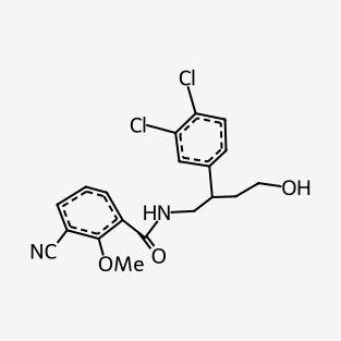 COc1c(C#N)cccc1C(=O)NCC(CCO)c1ccc(Cl)c(Cl)c1